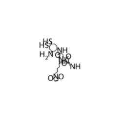 CNCCNC(=O)C(CC(=O)NC1CCC(S)C(S)CC(N)C1)N(C)C(=O)CCCCCN1C(=O)C=CC1=O